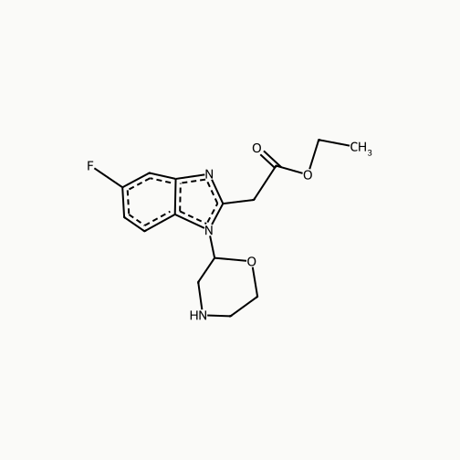 CCOC(=O)Cc1nc2cc(F)ccc2n1C1CNCCO1